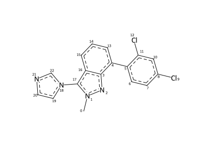 Cn1nc2c(-c3ccc(Cl)cc3Cl)cccc2c1-n1ccnc1